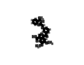 COc1cc2c(C(=O)O)cnc(C(=O)c3cccc(OCC(=O)NC(C)c4ccccc4)c3)c2cc1OC